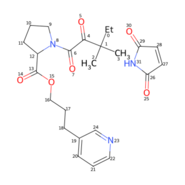 CCC(C)(C)C(=O)C(=O)N1CCCC1C(=O)OCCCc1cccnc1.O=C1C=CC(=O)N1